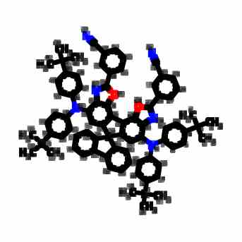 CC(C)(C)c1ccc(N(c2ccc([Si](C)(C)C)cc2)c2cc3c(c4oc(-c5cccc(C#N)c5)nc24)-c2c(cc(N(c4ccc(C(C)(C)C)cc4)c4ccc([Si](C)(C)C)cc4)c4nc(-c5cccc(C#N)c5)oc24)[Si]32c3ccccc3-c3ccccc32)cc1